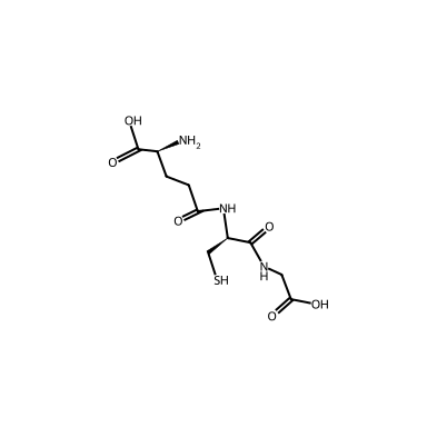 N[C@@H](CCC(=O)N[C@H](CS)C(=O)NCC(=O)O)C(=O)O